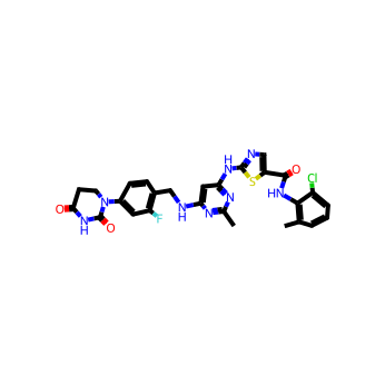 Cc1nc(NCc2ccc(N3CCC(=O)NC3=O)cc2F)cc(Nc2ncc(C(=O)Nc3c(C)cccc3Cl)s2)n1